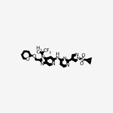 CC(n1c(COC2CCCCO2)nc2cnc(Nc3ccnc(-c4cnn(S(=O)(=O)C5CC5)c4)n3)cc21)C(F)(F)F